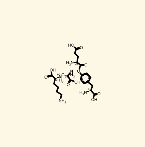 C[C@H](N)C(=O)O.NCCCC[C@H](N)C(=O)O.N[C@@H](Cc1ccc(OC(=O)[C@@H](N)CCC(=O)O)cc1)C(=O)O